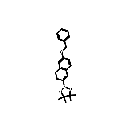 CC1(C)OB(C2=Cc3ccc(OCc4ccccc4)cc3CC2)OC1(C)C